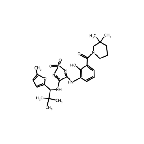 Cc1ccc(C(NC2=NS(=O)(=O)N=C2Nc2cccc(C(=O)N3CCCC(C)(C)C3)c2O)C(C)(C)C)o1